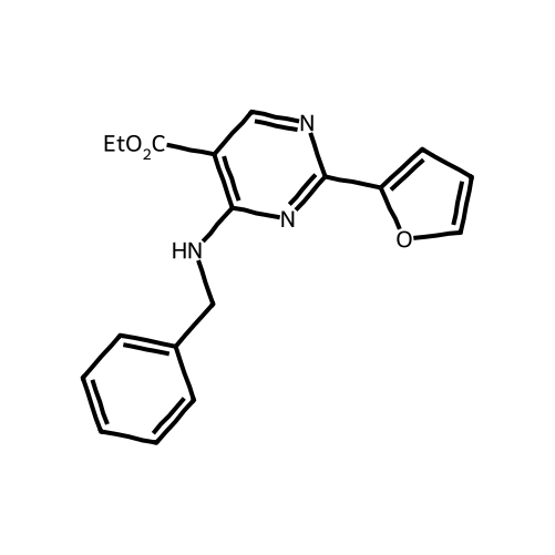 CCOC(=O)c1cnc(-c2ccco2)nc1NCc1ccccc1